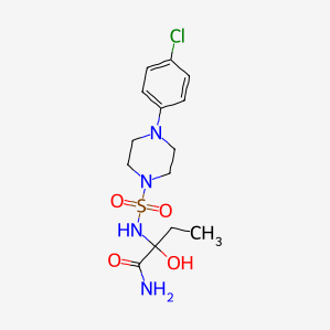 CCC(O)(NS(=O)(=O)N1CCN(c2ccc(Cl)cc2)CC1)C(N)=O